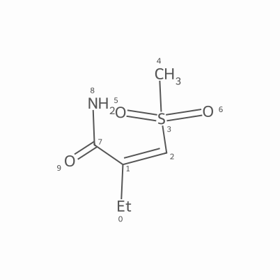 CCC(=CS(C)(=O)=O)C(N)=O